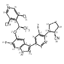 C[C@@H](Oc1cc2c(-c3cnc(N4CCC[C@H]4C#N)c(F)c3)n[nH]c2cc1F)c1c(Cl)cncc1Cl